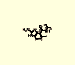 Cc1ccc2[nH]c(N)nc2c1C(=O)NC(C)C